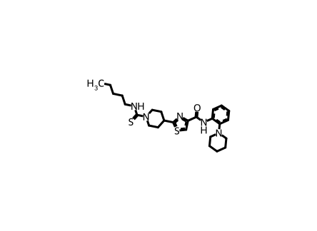 CCCCCNC(=S)N1CCC(c2nc(C(=O)Nc3ccccc3N3CCCCC3)cs2)CC1